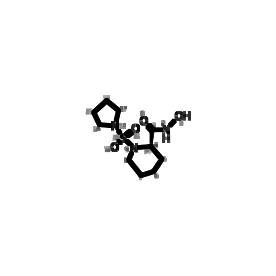 O=C(NO)[C@H]1CCCCN1S(=O)(=O)N1CCCC1